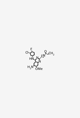 C=CC(=O)N1CC(c2nc(Nc3ccc(F)c(Cl)c3)c3cc(N)c(OC)cc3n2)C1